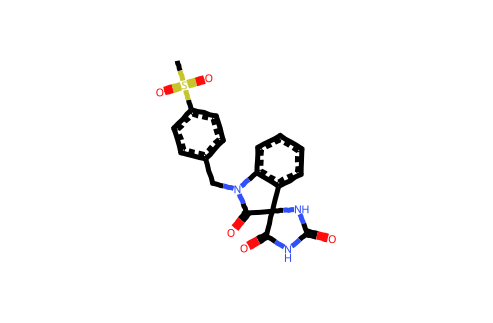 CS(=O)(=O)c1ccc(CN2C(=O)C3(NC(=O)NC3=O)c3ccccc32)cc1